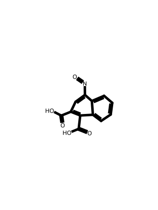 O=Nc1cc(C(=O)O)c(C(=O)O)c2ccccc12